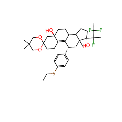 CCSc1ccc([C@H]2CC3(C)C(CC[C@@]3(O)C(C)(F)C(C)(F)F)C3CC[C@@]4(O)CC5(CCC4=C32)OCC(C)(C)CO5)cc1